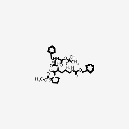 COC(=O)[C@@H]1CCCN1C(=O)C(CCCNC(=O)OCc1ccccc1)NC(=O)[C@H](Cc1ccccc1)NC(=O)OC(C)(C)C